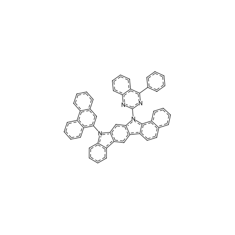 c1ccc(-c2nc(-n3c4cc5c(cc4c4ccc6ccccc6c43)c3ccccc3n5-c3cc4ccccc4c4ccccc34)nc3ccccc23)cc1